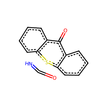 N=C=O.O=c1c2ccccc2sc2ccccc12